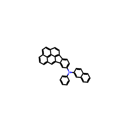 c1ccc(N(c2ccc3c(c2)-c2cc4cccc5ccc6ccc-3c2c6c54)c2ccc3ccccc3c2)cc1